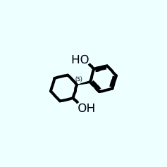 Oc1ccccc1[C@@H]1CCCCC1O